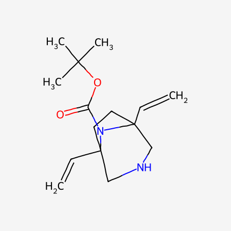 C=CC12CCC(C=C)(CNC1)N2C(=O)OC(C)(C)C